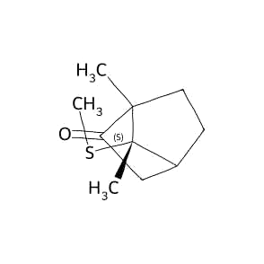 CS[C@@]1(C)C2CCC1(C)C(=O)C2